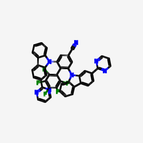 N#Cc1cc(-n2c3ccccc3c3ccc(-c4ncccn4)cc32)c(-c2c(F)c(F)c(F)c(F)c2F)c(-n2c3ccccc3c3ccc(-c4ncccn4)cc32)c1